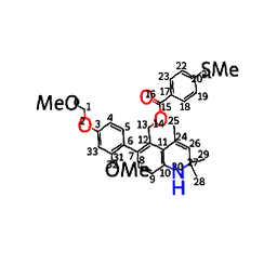 COCOc1ccc(-c2ccc3c(c2COC(=O)c2ccc(SC)cc2)C(C)=CC(C)(C)N3)c(OC)c1